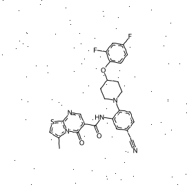 Cc1csc2ncc(C(=O)Nc3cc(C#N)ccc3N3CCC(Oc4ccc(F)cc4F)CC3)c(=O)n12